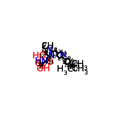 CSc1nc(Cc2ccc(-c3ccc(C(C)(C)C)cc3)nc2)nc(C(=O)NCC(=O)O)c1O